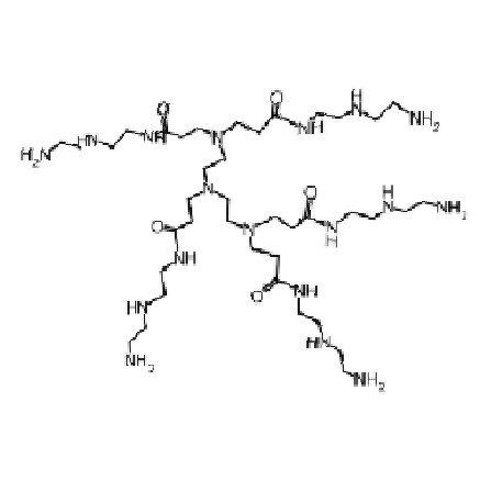 NCCNCCNC(=O)CCN(CCC(=O)NCCNCCN)CCN(CCC(=O)NCCNCCN)CCN(CCC(=O)NCCNCCN)CCC(=O)NCCNCCN